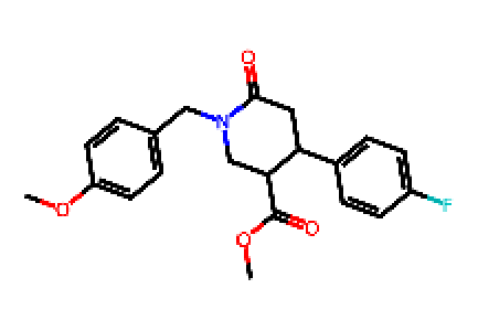 COC(=O)C1CN(Cc2ccc(OC)cc2)C(=O)CC1c1ccc(F)cc1